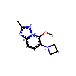 COc1c(N2CCC2)ccc2nc(C)nn12